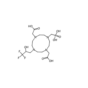 O=C(O)CN1CCN(CC(O)C(F)(F)F)CCN(CC(=O)O)CCN(CP(=O)(O)O)CC1